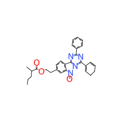 CCCC(C)C(=O)OCCc1ccc(-c2nc(C3=CCCC=C3)nc(-c3ccccc3)n2)c(N=O)c1